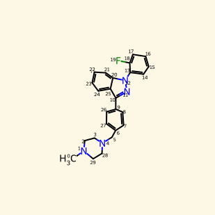 CN1CCN(Cc2ccc(-c3nn(-c4ccccc4F)c4c[c]ccc34)cc2)CC1